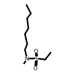 CCCCCCCN(C)S(=O)(=O)CC